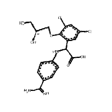 N=C(N)c1ccc(NC(C(=O)O)c2cc(Cl)cc(Cl)c2OC[C@@H](O)CO)cc1